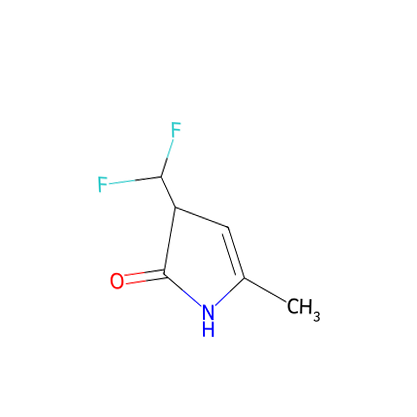 CC1=CC(C(F)F)C(=O)N1